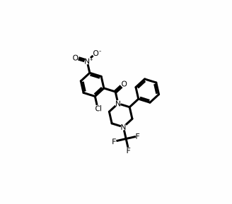 O=C(c1cc([N+](=O)[O-])ccc1Cl)N1CCN(C(F)(F)F)CC1c1ccccc1